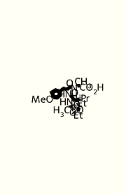 CCOP(=O)(OCC)C(C)NC(CC(C)C)C(=O)NC(Cc1ccc(OC)cc1)C(=O)NC(C)C(=O)O